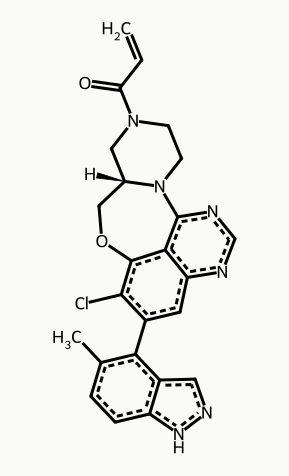 C=CC(=O)N1CCN2c3ncnc4cc(-c5c(C)ccc6[nH]ncc56)c(Cl)c(c34)OC[C@@H]2C1